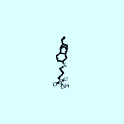 C=CC1CC2CC1C1CCC(SCCCS(=O)(=O)O)CC21